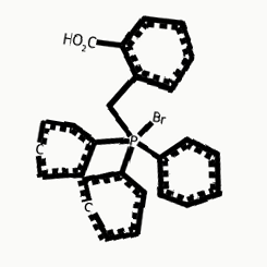 O=C(O)c1ccccc1CP(Br)(c1ccccc1)(c1ccccc1)c1ccccc1